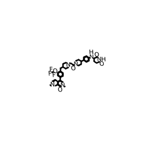 C=N/C=C\c1c(-c2ccc(CC3CCN(CC(=O)N4CCC(c5ccc(NC6CCC(=O)NC6=O)cc5)CC4)CC3)c(OC(F)(F)F)c2)cn(C)c(=O)c1C